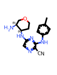 Cc1ccc(Nc2nc(N[C@@H]3CCOC[C@@H]3N)cnc2C#N)cc1